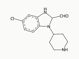 O=CC1Nc2cc(Cl)ccc2N1C1CCNCC1